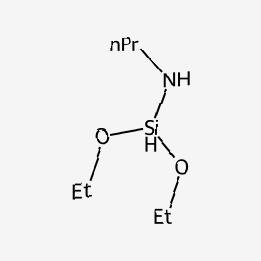 CCCN[SiH](OCC)OCC